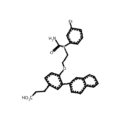 CCc1cccc(N(CCOc2ccc(CCC(=O)O)cc2-c2ccc3ccccc3c2)C(N)=O)c1